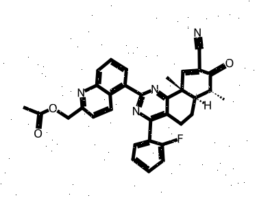 CC(=O)OCc1ccc2c(-c3nc(-c4ccccc4F)c4c(n3)[C@]3(C)C=C(C#N)C(=O)[C@H](C)[C@H]3CC4)cccc2n1